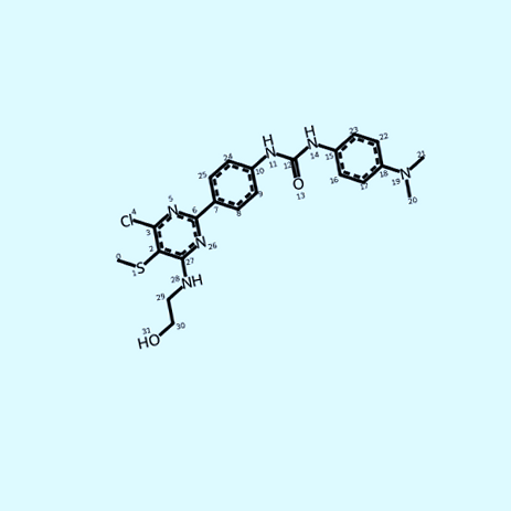 CSc1c(Cl)nc(-c2ccc(NC(=O)Nc3ccc(N(C)C)cc3)cc2)nc1NCCO